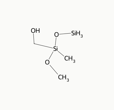 CO[Si](C)(CO)O[SiH3]